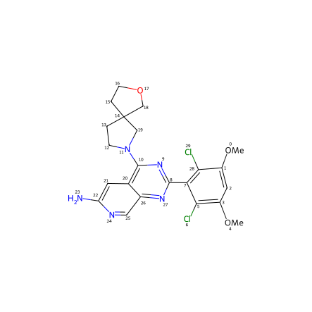 COc1cc(OC)c(Cl)c(-c2nc(N3CCC4(CCOC4)C3)c3cc(N)ncc3n2)c1Cl